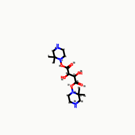 CC1(C)CNCCN1OC(=O)C(O)C(O)C(=O)ON1CCNCC1(C)C